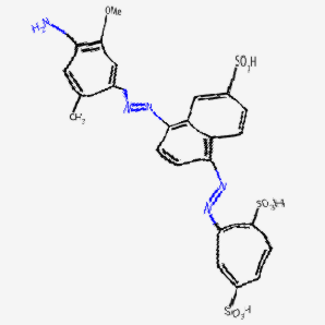 COc1cc(N=Nc2ccc(N=Nc3cc(S(=O)(=O)O)ccc3S(=O)(=O)O)c3ccc(S(=O)(=O)O)cc23)c(C)cc1N